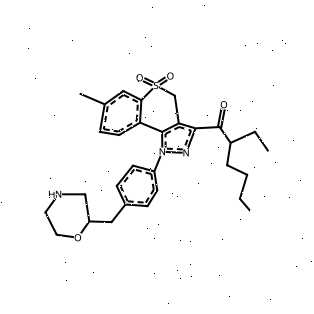 CCCCC(CC)C(=O)c1nn(-c2ccc(CC3CNCCO3)cc2)c2c1CS(=O)(=O)c1cc(C)ccc1-2